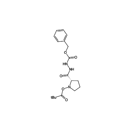 CC(C)(C)C(=O)ON1CCC[C@H]1C(=O)NNC(=O)OCc1ccccc1